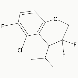 CC(C)C1c2c(ccc(F)c2Cl)OCC1(F)F